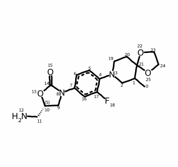 CC1CN(c2ccc(N3C[C@H](CN)OC3=O)cc2F)CCC12OCCO2